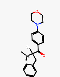 CCC(Cc1ccccc1)(C(=O)c1ccc(N2CCOCC2)cc1)[As](C)C